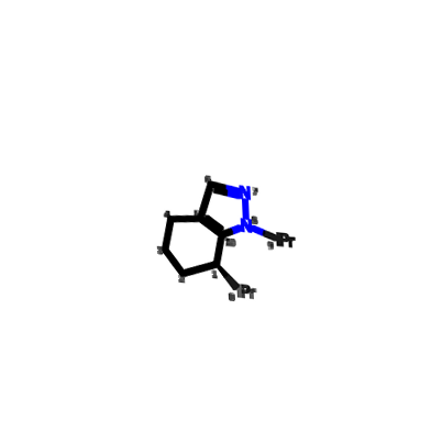 CC(C)[C@H]1CCCc2cnn(C(C)C)c21